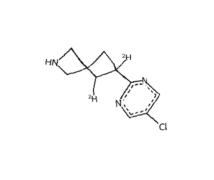 [2H]C1C2(CNC2)CC1([2H])c1ncc(Cl)cn1